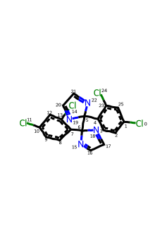 Clc1ccc(C2(C3(c4ccc(Cl)cc4Cl)N=CC=N3)N=CC=N2)c(Cl)c1